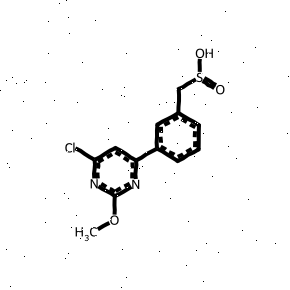 COc1nc(Cl)cc(-c2cccc(CS(=O)O)c2)n1